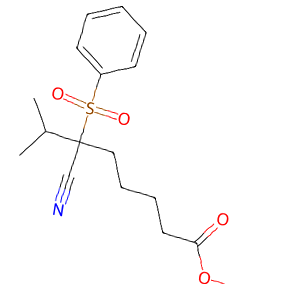 COC(=O)CCCCC(C#N)(C(C)C)S(=O)(=O)c1ccccc1